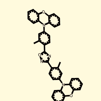 Cc1cc(N2c3ccccc3Oc3ccccc32)ccc1-c1noc(-c2ccc(N3c4ccccc4Oc4ccccc43)cc2C)n1